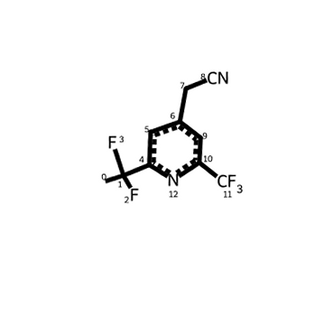 CC(F)(F)c1cc(CC#N)cc(C(F)(F)F)n1